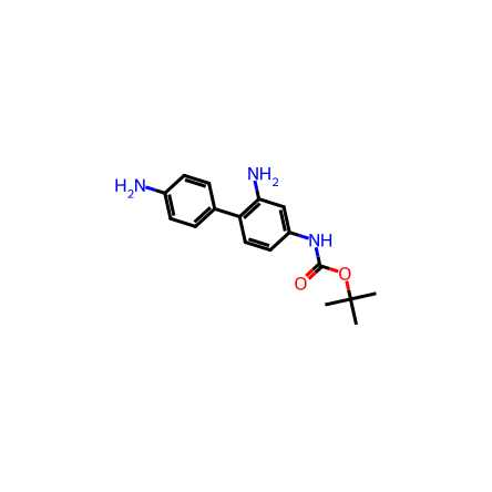 CC(C)(C)OC(=O)Nc1ccc(-c2ccc(N)cc2)c(N)c1